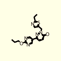 CCCOc1ncc(-c2ccc(=O)n(Cc3cnc(CC)s3)n2)cn1